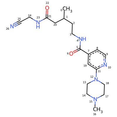 CC(CCNC(=O)c1ccnc(N2CCN(C)CC2)c1)CC(=O)NCC#N